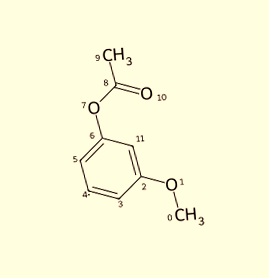 COc1c[c]cc(OC(C)=O)c1